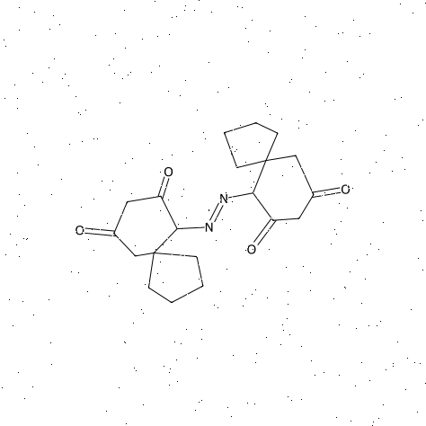 O=C1CC(=O)C(N=NC2C(=O)CC(=O)CC23CCCC3)C2(CCCC2)C1